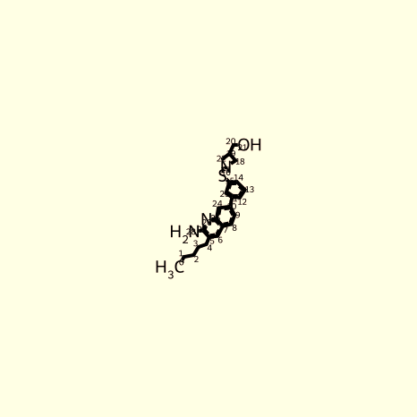 CCCCCc1cc2ccc(-c3cccc(SN4CC(CO)C4)c3)cc2nc1N